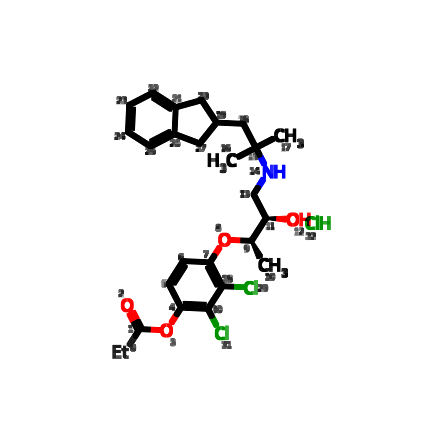 CCC(=O)Oc1ccc(O[C@H](C)[C@H](O)CNC(C)(C)CC2Cc3ccccc3C2)c(Cl)c1Cl.Cl